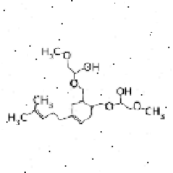 COCC(O)OCC1CC=C(CCC=C(C)C)CC1COC(O)COC